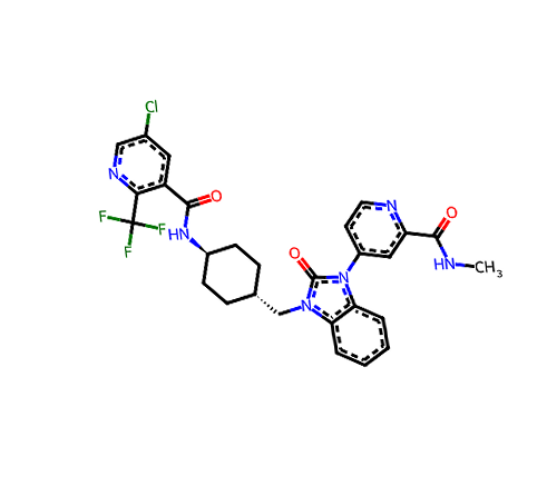 CNC(=O)c1cc(-n2c(=O)n(C[C@H]3CC[C@H](NC(=O)c4cc(Cl)cnc4C(F)(F)F)CC3)c3ccccc32)ccn1